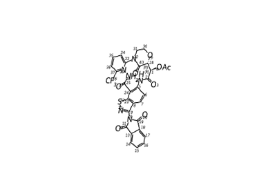 CC(=O)O[C@@H](C(=O)Nc1ccc2c(N3C(=O)c4ccccc4C3=O)nsc2c1C(N)=O)[C@H]1OCCN(c2cccc(C(F)(F)F)n2)C1=O